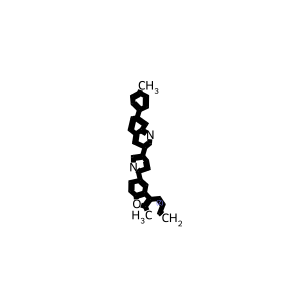 C=C/C=C\c1c(C)oc2ccc(-c3ccc(-c4cnc5cc(-c6ccc(C)cc6)ccc5c4)cn3)cc12